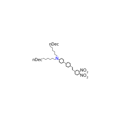 CCCCCCCCCCCCCCCCN(CCCCCCCCCCCCCCCC)c1ccc(-c2ccc(C=Cc3ccc([N+](=O)[O-])c([N+](=O)[O-])c3)cc2)cc1